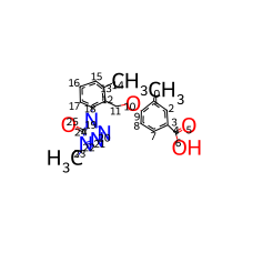 Cc1cc(C(=O)O)ccc1OCc1c(C)cccc1-n1nnn(C)c1=O